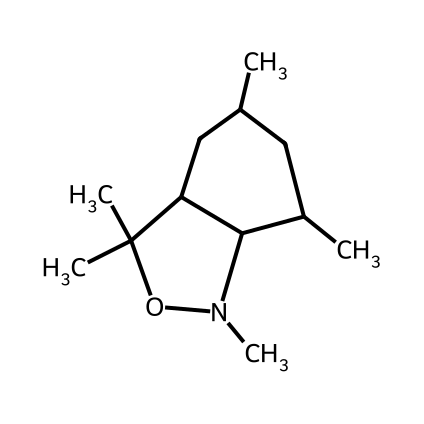 CC1CC(C)C2C(C1)C(C)(C)ON2C